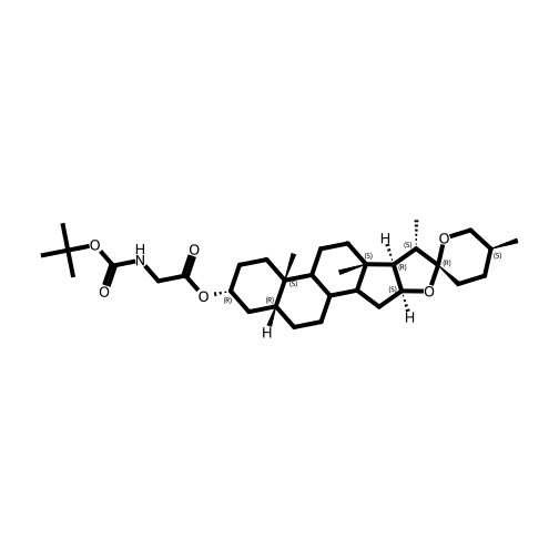 C[C@H]1CC[C@@]2(OC1)O[C@H]1CC3C4CC[C@@H]5C[C@H](OC(=O)CNC(=O)OC(C)(C)C)CC[C@]5(C)C4CC[C@]3(C)[C@H]1[C@@H]2C